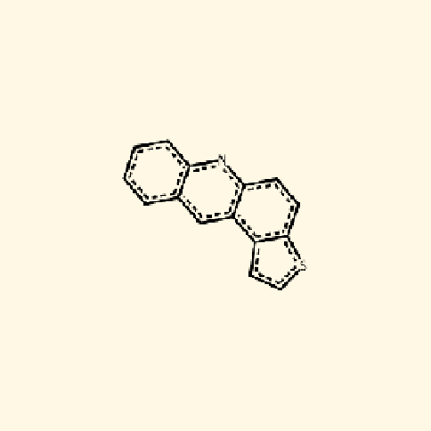 c1ccc2nc3ccc4sccc4c3cc2c1